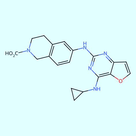 O=C(O)N1CCc2cc(Nc3nc(NC4CC4)c4occc4n3)ccc2C1